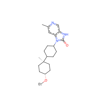 CCO[C@H]1CC[C@](C)(C2CCC(n3c(=O)[nH]c4cnc(C)cc43)CC2)CC1